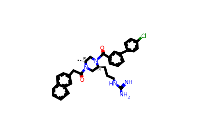 C[C@@H]1CN(C(=O)c2cccc(-c3ccc(Cl)cc3)c2)[C@@H](CCCNC(=N)N)CN1C(=O)Cc1ccc2ccccc2c1